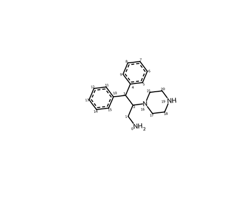 NCC(C(c1ccccc1)c1ccccc1)N1CCNCC1